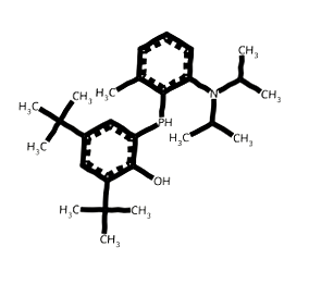 Cc1cccc(N(C(C)C)C(C)C)c1Pc1cc(C(C)(C)C)cc(C(C)(C)C)c1O